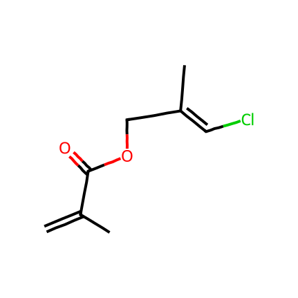 C=C(C)C(=O)OCC(C)=CCl